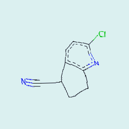 N#CC1CCc2nc(Cl)ccc21